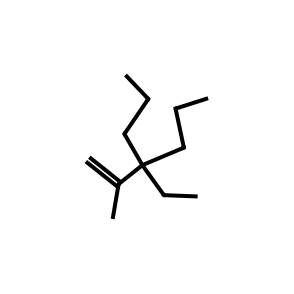 C=C(C)C(CC)(CCC)CCC